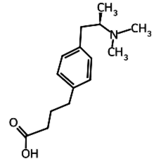 C[C@H](Cc1ccc(CCCC(=O)O)cc1)N(C)C